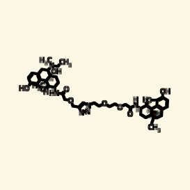 CCN(C)C1Cc2ccc(O)c3c2[C@@]2(C)[C@@H](O3)[C@@H](NC(=O)COCc3cn(CCOCCOCC(=O)N[C@H]4CC[C@@]5(O)C6Cc7ccc(O)c8c7[C@@]5(CCN6C)[C@H]4O8)nn3)CC[C@@]12O